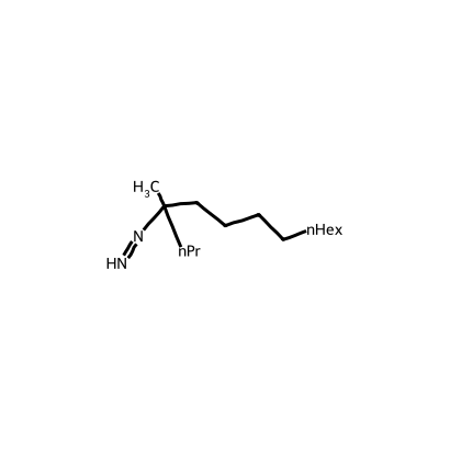 CCCCCCCCCCC(C)(CCC)N=N